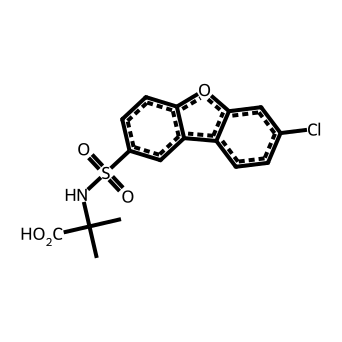 CC(C)(NS(=O)(=O)c1ccc2oc3cc(Cl)ccc3c2c1)C(=O)O